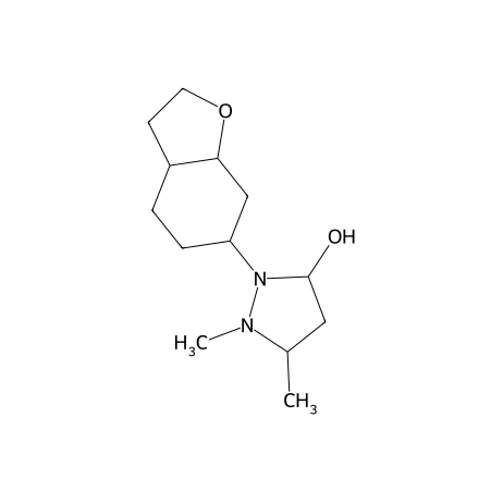 CC1CC(O)N(C2CCC3CCOC3C2)N1C